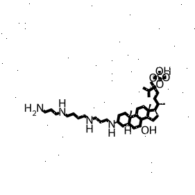 CC(C)C(C)(CC[C@@H](C)[C@H]1CCC2C3C(CC[C@@]21C)[C@@]1(C)CC[C@H](NCCCNCCCCNCCCN)C[C@H]1C[C@@H]3O)OS(=O)(=O)O